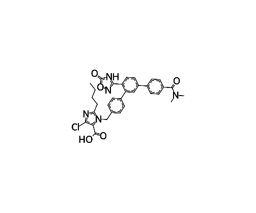 CCCCc1nc(Cl)c(C(=O)O)n1Cc1ccc(-c2cc(-c3ccc(C(=O)N(C)C)cc3)ccc2-c2noc(=O)[nH]2)cc1